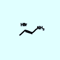 Br.CC=[CH][AlH2]